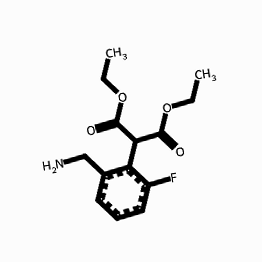 CCOC(=O)C(C(=O)OCC)c1c(F)cccc1CN